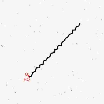 CCCCCCCCCCCCCCC=CCCCCCCCCCCCCC(=O)O